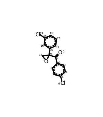 O=C(c1ccc(Cl)cc1)C1(c2cccc(Cl)c2)CO1